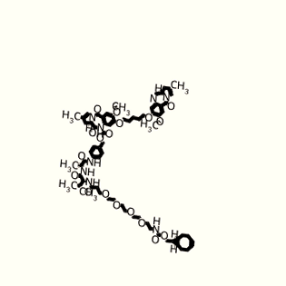 COc1cc2c(cc1OCCCCCOc1cc3c(cc1OC)C(=O)N1C=C(C)C[C@H]1[C@H](O)N3C(=O)OCc1ccc(NC(=O)[C@H](C)NC(=O)[C@@H](NC(=O)CCOCCOCCOCCOCCNC(=O)OCC3[C@H]4CCC#CCC[C@@H]34)C(C)C)cc1)N=C[C@@H]1CC(C)=CN1C2=O